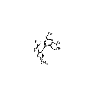 Cn1cc(-c2cc(CBr)cc3c2CCNC3=O)c(C(F)(F)F)n1